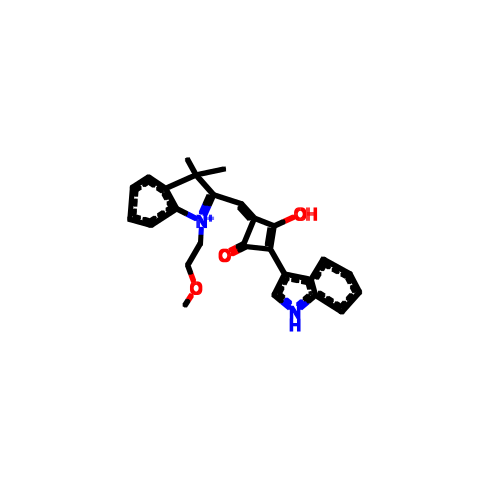 COCC[N+]1=C(/C=C2\C(=O)C(c3c[nH]c4ccccc34)=C2O)C(C)(C)c2ccccc21